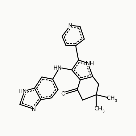 CC1(C)CC(=O)c2c([nH]c(-c3ccncc3)c2Nc2ccc3nc[nH]c3c2)C1